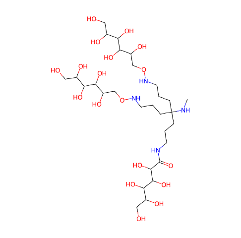 CNC(CCCNOCC(O)C(O)C(O)C(O)CO)(CCCNOCC(O)C(O)C(O)C(O)CO)CCCNC(=O)C(O)C(O)C(O)C(O)CO